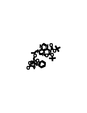 CC(Cn1cnc2c(N(C(=O)OC(C)(C)C)C(=O)OC(C)(C)C)ncnc21)OCP(=O)(N[C@@H](C)C(=O)O)Oc1ccccc1